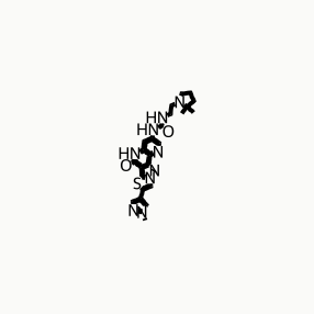 Cn1cc(-c2cn3nc4c5ncc(NC(=O)NCCN6CCCC6(C)C)cc5[nH]c(=O)c4c3s2)cn1